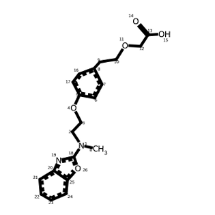 CN(CCOc1ccc(CCOCC(=O)O)cc1)c1nc2ccccc2o1